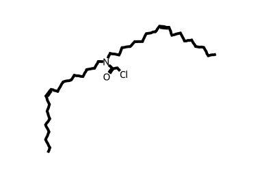 CCCCCCCC/C=C\CCCCCCCCN(CCCCCCCC/C=C\CCCCCCCC)C(=O)CCl